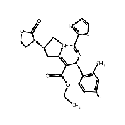 CCOC(=O)C1=C2C[C@@H](N3CCOC3=O)CN2C(c2nccs2)=N[C@H]1c1ccc(F)cc1C